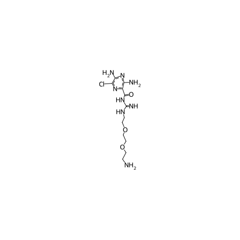 N=C(NCCOCCOCCN)NC(=O)c1nc(Cl)c(N)nc1N